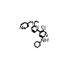 CCN(Cc1ccncc1)c1cccc(-c2cc(NC3CCCCC3)ncc2Cl)n1